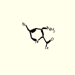 CCC(=O)c1ncc(Br)cc1N